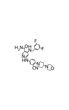 N#Cc1cc(Nc2cc(NCc3cc(F)cc(F)c3)c(C(N)=O)cn2)ccc1N1CCC(N2CCOCC2)CC1